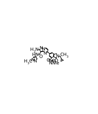 CNS(=O)(=O)c1cc(-c2ccn3nc(N)c(C(=O)Nc4cnn(C)c4)c3n2)cc2c1C(=O)N(C(C)C1CC1)C2